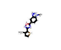 Cc1ccsc1-c1noc(-c2ccc3c(c2)nnn3C(C)C)n1